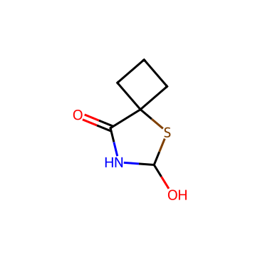 O=C1NC(O)SC12CCC2